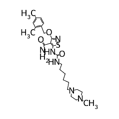 Cc1ccc(COc2nsc(NC(=O)NCCCCCCN3CCN(C)CC3)c2C(N)=O)c(C)c1